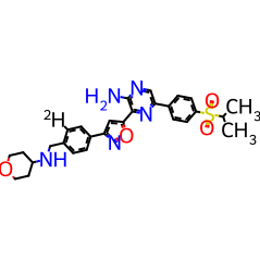 [2H]c1cc(-c2cc(-c3nc(-c4ccc(S(=O)(=O)C(C)C)cc4)cnc3N)on2)ccc1CNC1CCOCC1